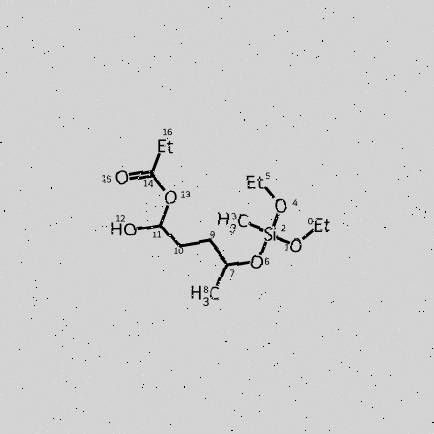 CCO[Si](C)(OCC)OC(C)CCC(O)OC(=O)CC